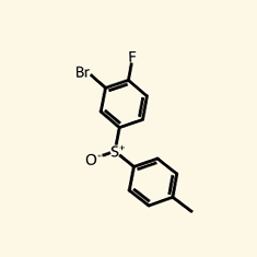 Cc1ccc([S+]([O-])c2ccc(F)c(Br)c2)cc1